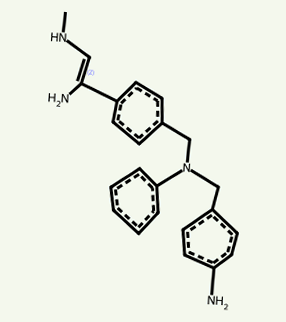 CN/C=C(\N)c1ccc(CN(Cc2ccc(N)cc2)c2ccccc2)cc1